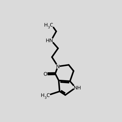 CCNCCN1CCc2[nH]cc(C)c2C1=O